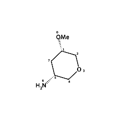 CO[C@@H]1COC[C@H](N)C1